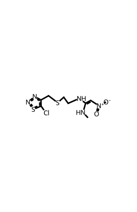 CNC(=C[N+](=O)[O-])NCCSCc1nnsc1Cl